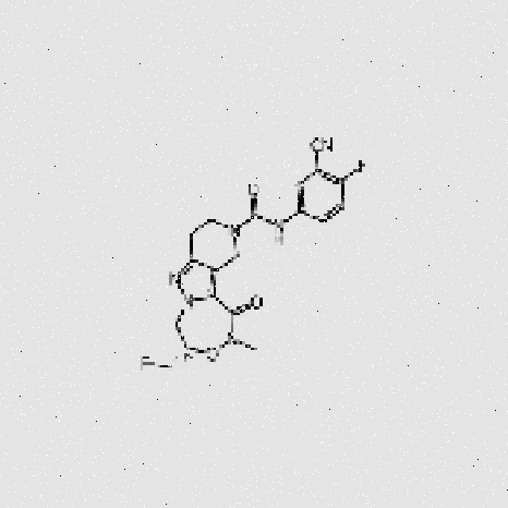 CN1O[C@H](CF)Cn2nc3c(c2C1=O)CN(C(=O)Nc1ccc(F)c(C#N)c1)CC3